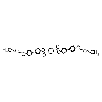 C=CCOCCOc1ccc(-c2ccc(OC(=O)[C@H]3CC[C@H](C(=O)Oc4ccc(-c5ccc(OCCOCC=C)cc5)cc4)CC3)cc2)cc1